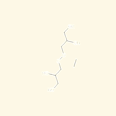 CC.OCC(O)COOCC(O)CO